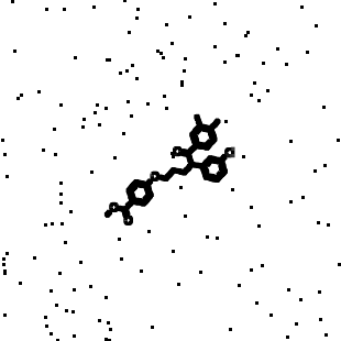 COC(=O)c1ccc(OCCCC(C(=O)c2ccc(C)c(C)c2)c2cccc(Cl)c2)cc1